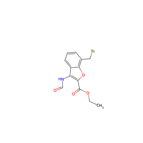 CCOC(=O)c1oc2c(CBr)cccc2c1NC=O